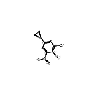 O=[N+]([O-])c1cc(C2CC2)cc(Cl)c1O